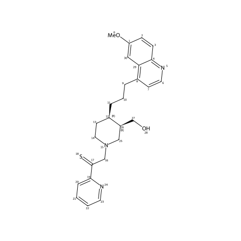 COc1ccc2nccc(CCC[C@@H]3CCN(CC(=S)c4ccccn4)C[C@@H]3CO)c2c1